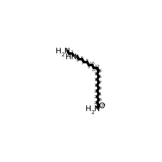 NCCNCCCCCCCC/C=C\CCCCCCCCCCCC(N)=O